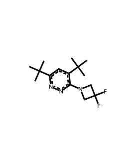 CC(C)(C)c1cc(C(C)(C)C)c(N2CC(F)(F)C2)nn1